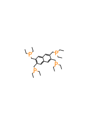 CCP(CC)Cc1cc2cc(CP(CC)CC)c(CP(CC)CC)cc2cc1CP(CC)CC